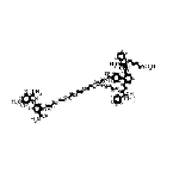 Cc1nn(-c2ccc(C(N)=O)c(NCCCOCCOCCOCCOCCOCCCNC(=O)c3ccc(C4=C(/C=C/C5=[N+](CCCCS(=O)(=O)O)c6ccccc6C5(C)C)CCC/C4=C\C=C4\N(CCCCS(=O)(=O)O)c5ccccc5C4(C)C)cc3)c2)c2c1C(=O)CC(C)(C)C2